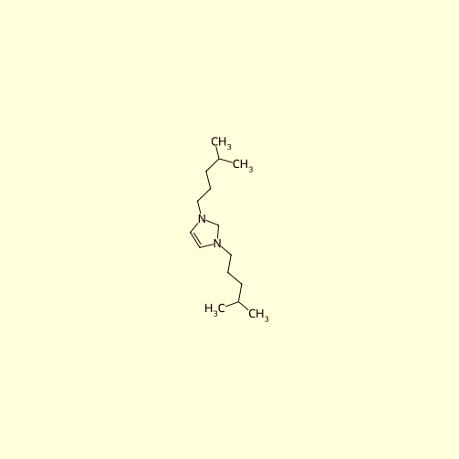 CC(C)CCCN1C=CN(CCCC(C)C)C1